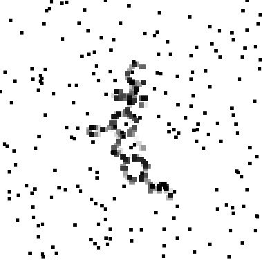 O=[N+]([O-])c1ccc(Oc2c(Cl)cc(S(=O)(=O)N3CCCC3)cc2Cl)cc1